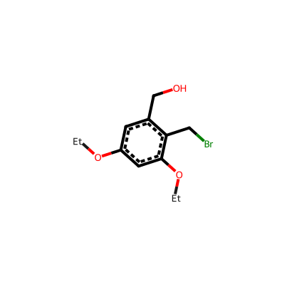 CCOc1cc(CO)c(CBr)c(OCC)c1